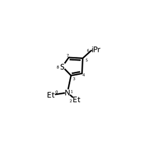 CCN(CC)c1cc(C(C)C)cs1